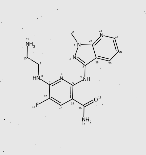 Cn1nc(Nc2nc(NCCN)c(F)cc2C(N)=O)c2cccnc21